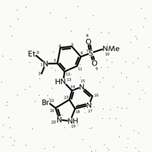 CCN(C)c1ccc(S(=O)(=O)NC)cc1Nc1ncnc2[nH]nc(Br)c12